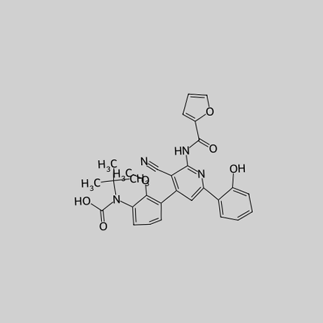 COc1c(-c2cc(-c3ccccc3O)nc(NC(=O)c3ccco3)c2C#N)cccc1N(C(=O)O)C(C)(C)C